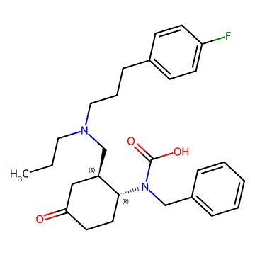 CCCN(CCCc1ccc(F)cc1)C[C@@H]1CC(=O)CC[C@H]1N(Cc1ccccc1)C(=O)O